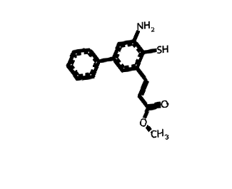 COC(=O)C=Cc1cc(-c2ccccc2)cc(N)c1S